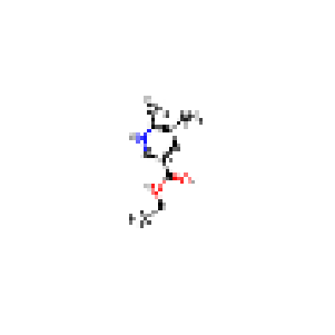 Bc1cc(C(=O)OCC)cnc1C